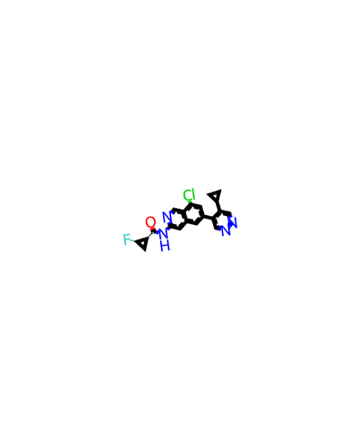 O=C(Nc1cc2cc(-c3cnncc3C3CC3)cc(Cl)c2cn1)[C@@H]1C[C@@H]1F